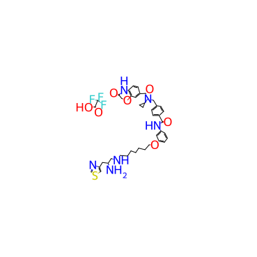 N[C@H](CNCCCCCCCOc1cccc(NC(=O)c2ccc(CN(C(=O)c3ccc4c(c3)OCC(=O)N4)C3CC3)cc2)c1)Cc1cscn1.O=C(O)C(F)(F)F